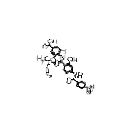 CC(C)Oc1cc(C(=O)O)ccc1NC(=O)c1ccc(NC(=O)c2ccc([N+](=O)[O-])cc2)cc1O